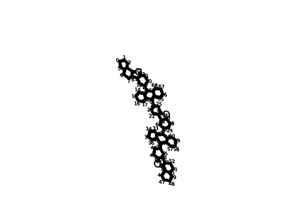 c1ccc2c(c1)ccc1c3cc(-c4c5ccccc5c(-c5ccc6c(c5)oc5ccc(-c7c8ccccc8c(-c8ccc9oc%10c%11ccccc%11ccc%10c9c8)c8ccccc78)cc56)c5ccccc45)ccc3oc21